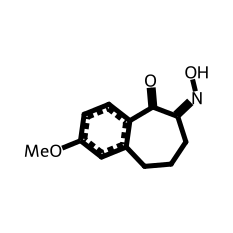 COc1ccc2c(c1)CCC/C(=N/O)C2=O